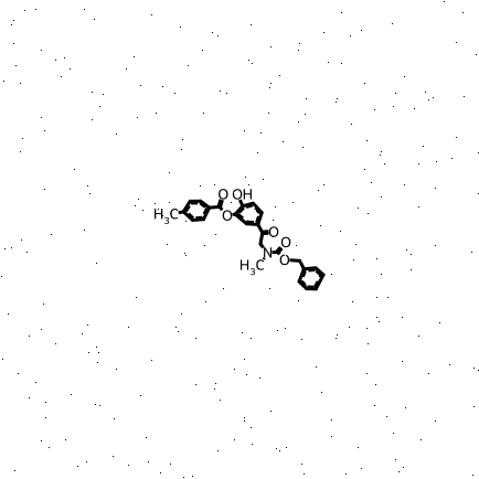 Cc1ccc(C(=O)Oc2cc(C(=O)CN(C)C(=O)OCc3ccccc3)ccc2O)cc1